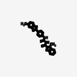 Cc1ccc2nc(-c3ccc(NC(=S)NC(=O)c4oc5ccccc5c4C)cc3)oc2c1